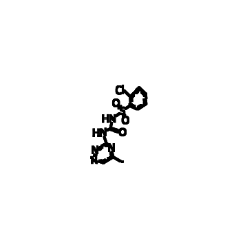 Cc1cnnc(NC(=O)NS(=O)(=O)c2ccccc2Cl)n1